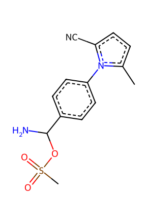 Cc1ccc(C#N)n1-c1ccc(C(N)OS(C)(=O)=O)cc1